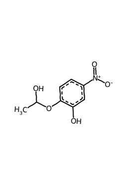 CC(O)Oc1ccc([N+](=O)[O-])cc1O